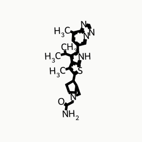 Cc1c(C2CC3CC2CN3CC(N)=O)sc2[nH]c(-c3cc(C)c4ncnn4c3)c(C(C)C)c12